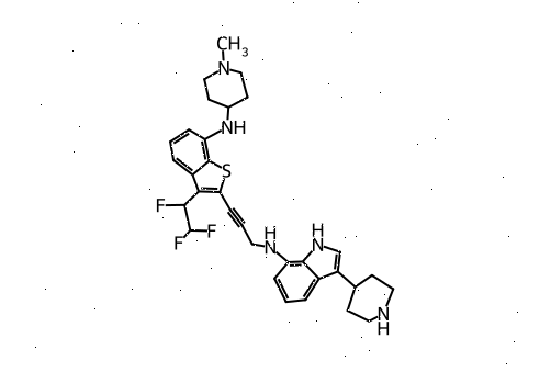 CN1CCC(Nc2cccc3c(C(F)C(F)F)c(C#CCNc4cccc5c(C6CCNCC6)c[nH]c45)sc23)CC1